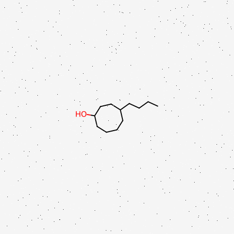 CCCCC1CCCCC(O)CC1